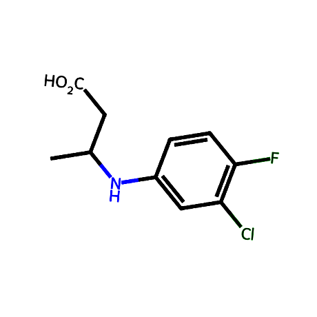 CC(CC(=O)O)Nc1ccc(F)c(Cl)c1